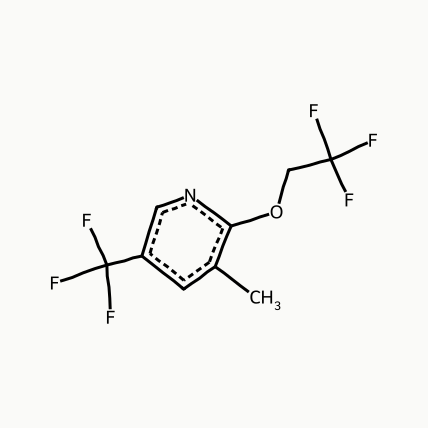 Cc1cc(C(F)(F)F)cnc1OCC(F)(F)F